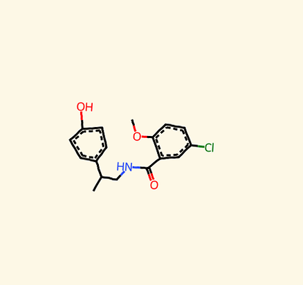 COc1ccc(Cl)cc1C(=O)NCC(C)c1ccc(O)cc1